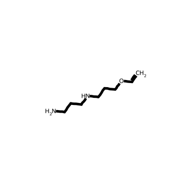 C=COCCCNCCCN